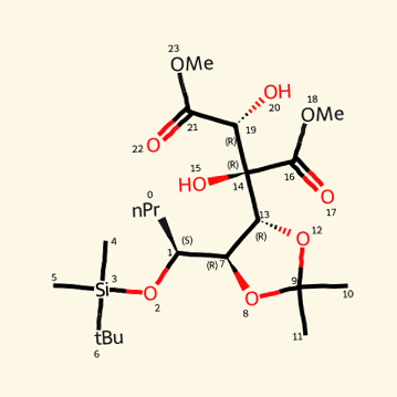 CCC[C@H](O[Si](C)(C)C(C)(C)C)[C@@H]1OC(C)(C)O[C@H]1[C@@](O)(C(=O)OC)[C@@H](O)C(=O)OC